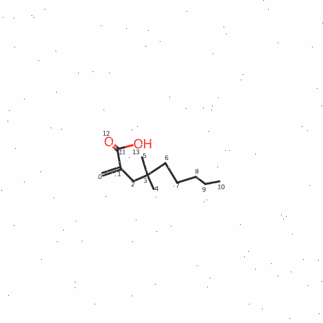 C=C(CC(C)(C)CCCCC)C(=O)O